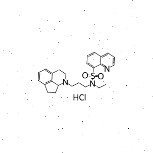 CCN(CCCN1CCc2cccc3c2C1CC3)S(=O)(=O)c1cccc2cccnc12.Cl